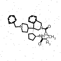 COC(=O)N1Cc2ccccc2C(C2CCN(Cc3ccccc3)CC2)([C@H]2CCC[C@@H]2NC(C)=O)C1